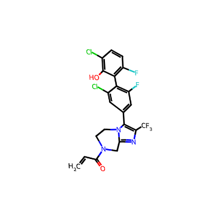 C=CC(=O)N1CCn2c(nc(C(F)(F)F)c2-c2cc(F)c(-c3c(F)ccc(Cl)c3O)c(Cl)c2)C1